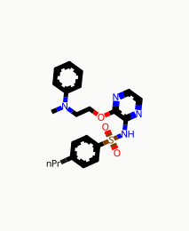 CCCc1ccc(S(=O)(=O)Nc2nccnc2OCCN(C)c2ccccc2)cc1